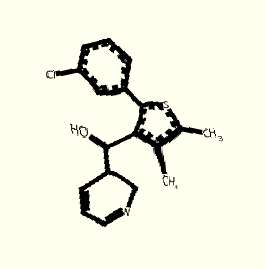 Cc1sc(-c2cccc(Cl)c2)c(C(O)C2C=CC=NC2)c1C